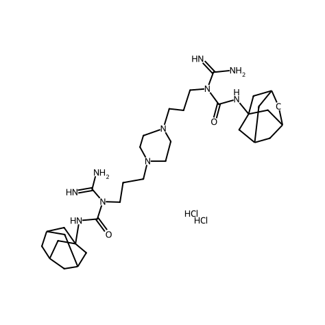 Cl.Cl.N=C(N)N(CCCN1CCN(CCCN(C(=N)N)C(=O)NC23CC4CC(CC(C4)C2)C3)CC1)C(=O)NC12CC3CC(CC(C3)C1)C2